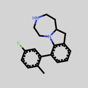 Cc1ccc(F)cc1-c1cccc2c1N1CCNCCC1C2